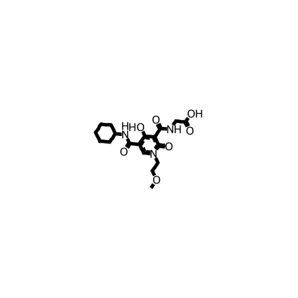 COCCn1cc(C(=O)NC2CCCCC2)c(O)c(C(=O)NCC(=O)O)c1=O